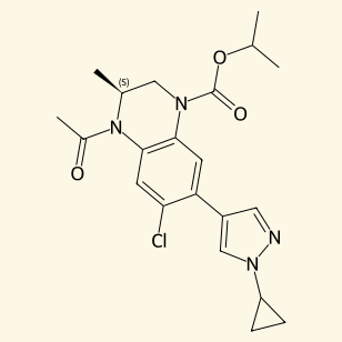 CC(=O)N1c2cc(Cl)c(-c3cnn(C4CC4)c3)cc2N(C(=O)OC(C)C)C[C@@H]1C